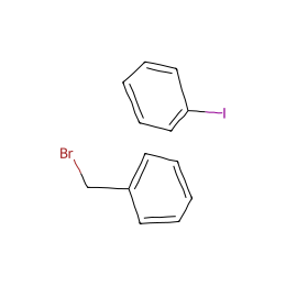 BrCc1ccccc1.Ic1ccccc1